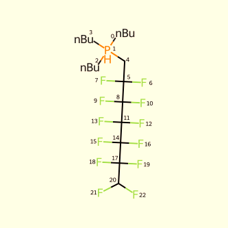 CCCC[PH](CCCC)(CCCC)CC(F)(F)C(F)(F)C(F)(F)C(F)(F)C(F)(F)C(F)F